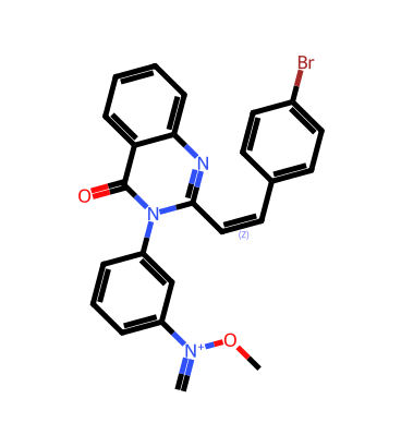 C=[N+](OC)c1cccc(-n2c(/C=C\c3ccc(Br)cc3)nc3ccccc3c2=O)c1